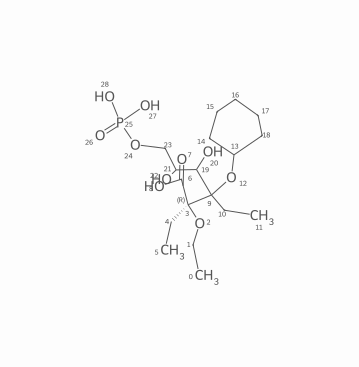 CCO[C@@](CC)(C(=O)O)C(CC)(OC1CCCCC1)C(O)C(O)COP(=O)(O)O